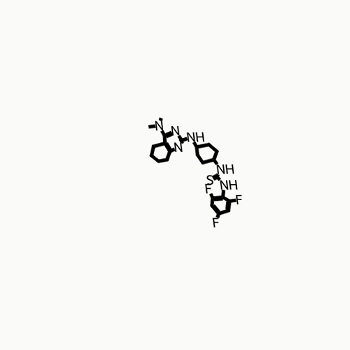 CN(C)c1nc(NC2CCC(NC(=S)Nc3c(F)cc(F)cc3F)CC2)nc2c1CCCC2